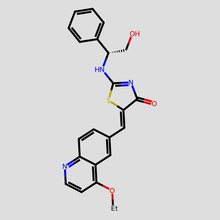 CCOc1ccnc2ccc(/C=C3\SC(N[C@@H](CO)c4ccccc4)=NC3=O)cc12